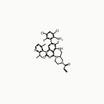 C=CC(=O)N1CCN2c3nc(=O)n(-c4c(C)ccnc4C(C)C)c4cc(-c5c(N)c(Cl)cc(Cl)c5F)c(F)c(c34)NCC2C1